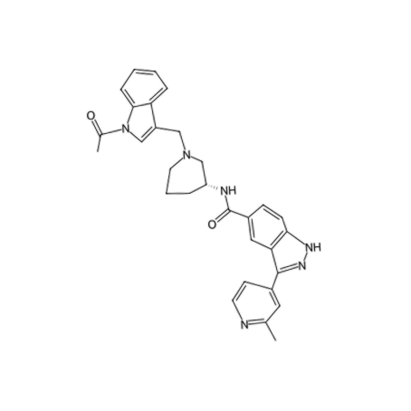 CC(=O)n1cc(CN2CCC[C@@H](NC(=O)c3ccc4[nH]nc(-c5ccnc(C)c5)c4c3)C2)c2ccccc21